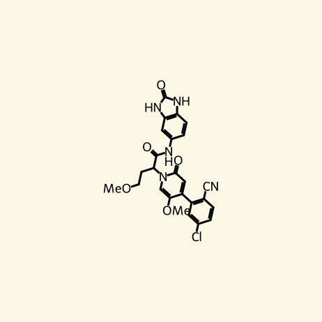 COCCC(C(=O)Nc1ccc2[nH]c(=O)[nH]c2c1)n1cc(OC)c(-c2cc(Cl)ccc2C#N)cc1=O